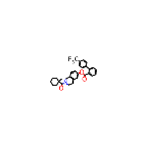 CC1(C(=O)N2CCc3cc(OC(=O)c4ccccc4-c4ccc(C(F)(F)F)cc4)ccc3C2)CCCCC1